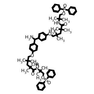 CC(C)(COc1ccc(C(N)c2ccc(OCC(C)(C)CC(C)(C)C(=O)NC(C)(C)COP(=O)(c3ccccc3)c3ccccc3)cc2)cc1)CC(C)(C)C(=O)NC(C)(C)COP(=O)(c1ccccc1)c1ccccc1